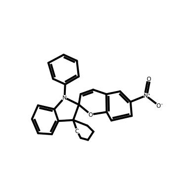 O=[N+]([O-])c1ccc2c(c1)C=CC1(O2)N(c2ccccc2)c2ccccc2C12CCCCC2